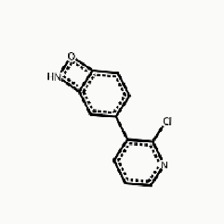 Clc1ncccc1-c1ccc2o[nH]c2c1